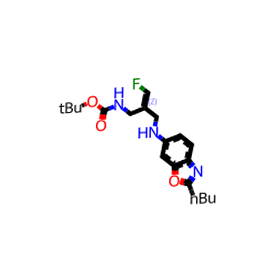 CCCCc1nc2ccc(NC/C(=C/F)CNC(=O)OC(C)(C)C)cc2o1